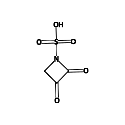 O=C1CN(S(=O)(=O)O)C1=O